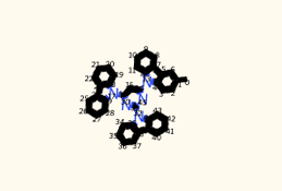 Cc1ccc2c(c1)c1ccccc1n2-c1cc(-n2c3ccccc3c3ccccc32)nc(-n2c3ccccc3c3ccccc32)n1